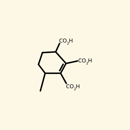 CC1CCC(C(=O)O)C(C(=O)O)=C1C(=O)O